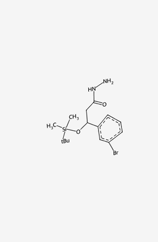 CC(C)(C)[Si](C)(C)OC(CC(=O)NN)c1cccc(Br)c1